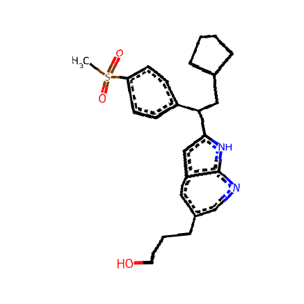 CS(=O)(=O)c1ccc(C(CC2CCCC2)c2cc3cc(CCCO)cnc3[nH]2)cc1